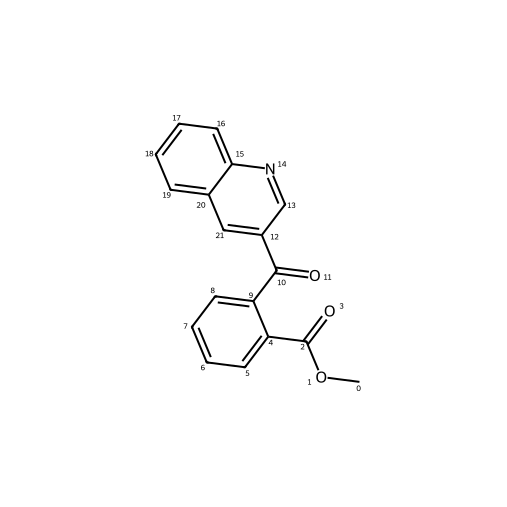 COC(=O)c1ccccc1C(=O)c1cnc2ccccc2c1